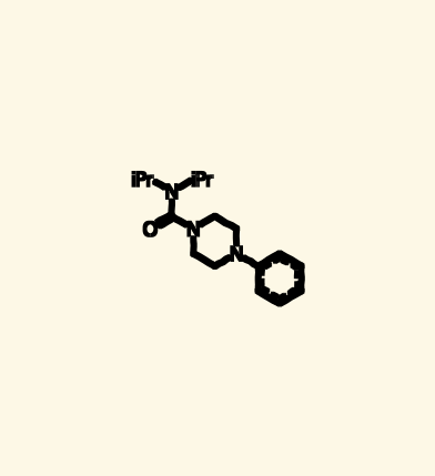 CC(C)N(C(=O)N1CCN(c2ccccc2)CC1)C(C)C